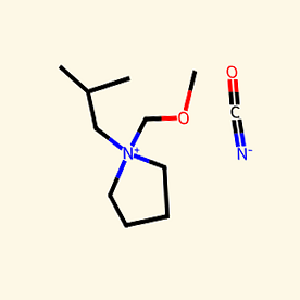 COC[N+]1(CC(C)C)CCCC1.[N-]=C=O